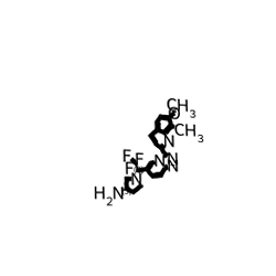 COc1ccc2ccc(-c3nnc4ccc([C@@H](N5CC[C@H](N)C5)C(F)(F)F)cn34)nc2c1C